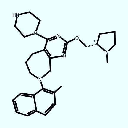 Cc1ccc2ccccc2c1N1CCCc2c(nc(OC[C@@H]3CCCN3C)nc2N2CCNCC2)C1